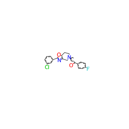 O=C(CN1CCc2oc(-c3cccc(Cl)c3)nc2C1)c1ccc(F)cc1